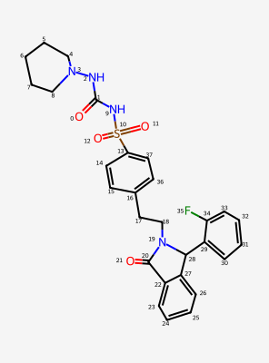 O=C(NN1CCCCC1)NS(=O)(=O)c1ccc(CCN2C(=O)c3ccccc3C2c2ccccc2F)cc1